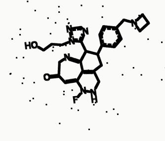 O=C1C=C2C3=C(CNN2F)CC(c2ccc(CN4CCC4)cc2)C(c2ncnn2CCCO)C3=NC1